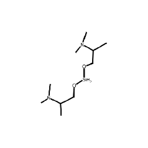 CC(CO[SiH2]OCC(C)N(C)C)N(C)C